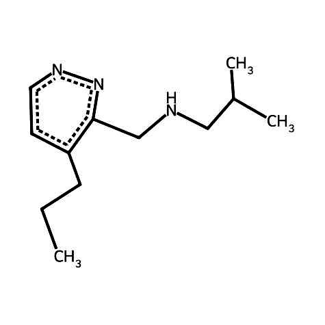 CCCc1ccnnc1CNCC(C)C